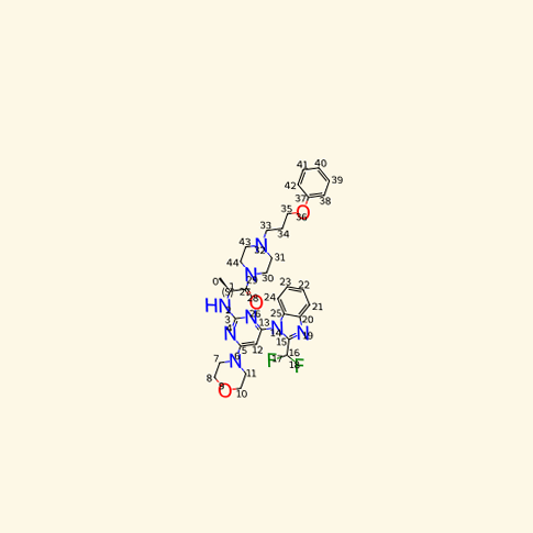 C[C@H](Nc1nc(N2CCOCC2)cc(-n2c(C(F)F)nc3ccccc32)n1)C(=O)N1CCN(CCCOc2ccccc2)CC1